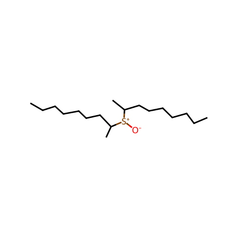 CCCCCCCC(C)[S+]([O-])C(C)CCCCCCC